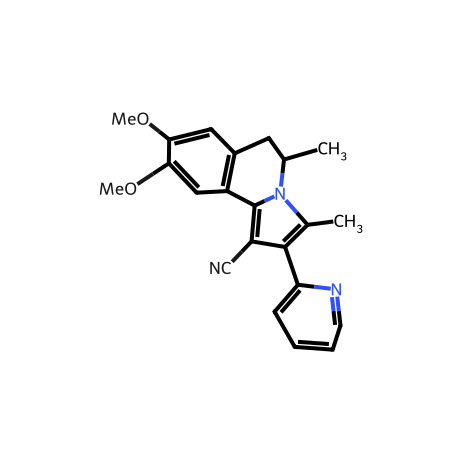 COc1cc2c(cc1OC)-c1c(C#N)c(-c3ccccn3)c(C)n1C(C)C2